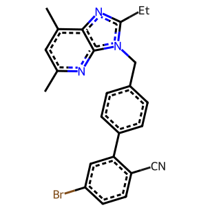 CCc1nc2c(C)cc(C)nc2n1Cc1ccc(-c2cc(Br)ccc2C#N)cc1